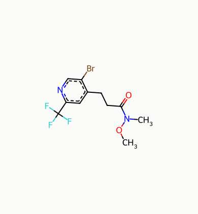 CON(C)C(=O)CCc1cc(C(F)(F)F)ncc1Br